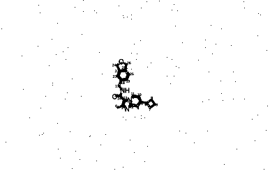 Cc1nc2cc(C3CCC3)ccn2c1C(=O)NCc1ccc2c(c1)COC2